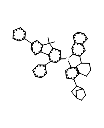 CC1(C)c2cc(-c3ccccc3)ccc2-c2c(-c3ccccc3)cc(N(c3ccc(C4CC5CCC4C5)cc3)c3cc4ccccc4cc3C3CCCCC3)cc21